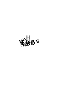 Cc1cccc2c1NC(=O)[C@@H](NC(=O)c1cc(Cc3ccccc3)on1)CO2